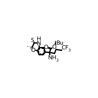 C[C@H]1Oc2ccc(C(N)(CCCC(F)(F)F)C(=O)OC(C)(C)C)cc2NC1=S